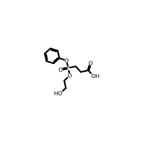 O=C(O)CCP(=O)(OCCO)Oc1ccccc1